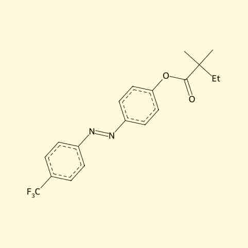 CCC(C)(C)C(=O)Oc1ccc(/N=N/c2ccc(C(F)(F)F)cc2)cc1